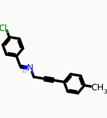 Cc1ccc(C#CC/N=C/c2ccc(Cl)cc2)cc1